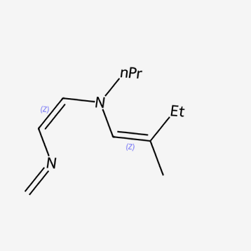 C=N/C=C\N(/C=C(/C)CC)CCC